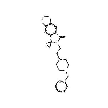 O=C1c2cc3c(cc2C2(CC2)N1CCC1CCN(Cc2ccccc2)CC1)OCO3